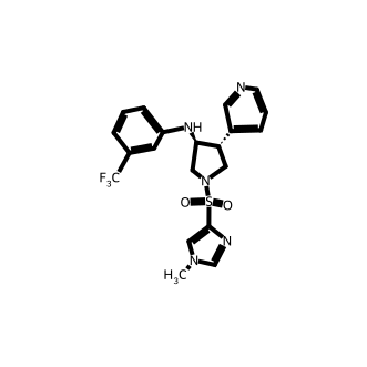 Cn1cnc(S(=O)(=O)N2C[C@@H](Nc3cccc(C(F)(F)F)c3)[C@H](c3cccnc3)C2)c1